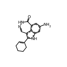 Nc1cc2c3c(c(C4=CCCCC4)[nH]c3c1)C=NNC2=O